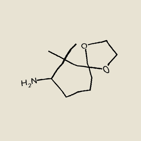 CC1(C)C(N)CCC12OCCO2